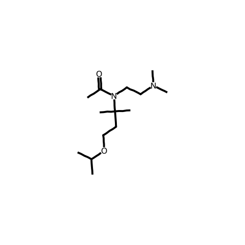 CC(=O)N(CCN(C)C)C(C)(C)CCOC(C)C